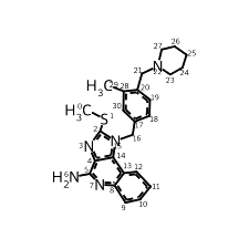 CSc1nc2c(N)nc3ccccc3c2n1Cc1ccc(CN2CCCCC2)c(C)c1